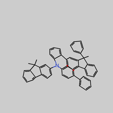 CC1(C)c2ccccc2-c2ccc(N(c3ccc(-c4ccccc4)cc3)c3ccccc3-c3ccc4c(c3)C(C)(c3ccccc3)c3ccccc3-4)cc21